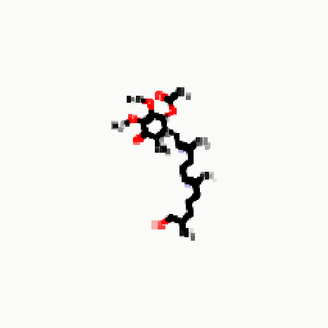 COC1=C(OC)[C@H](OC(C)=O)[C@H](C/C=C(\C)CC/C=C(\C)CCCC(C)CO)[C@@H](C)C1=O